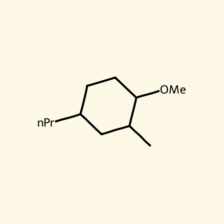 CCCC1CCC(OC)C(C)C1